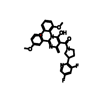 C=C1N=C(c2cccc(OC)c2)N(c2c(OC)cccc2OC)C(O)=C1C(=O)N1CCC(c2ncc(F)cc2F)C1